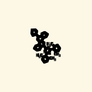 Cc1cccc(C)c1-c1nc(-c2c(C)cccc2C)nc(-c2cc3c4ccccc4c(-c4ccccc4)cc3c3ccccc23)n1